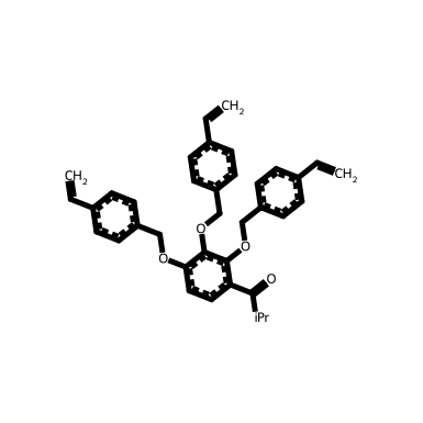 C=Cc1ccc(COc2ccc(C(=O)C(C)C)c(OCc3ccc(C=C)cc3)c2OCc2ccc(C=C)cc2)cc1